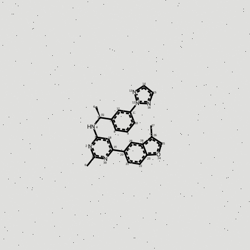 Cc1nc(N[C@@H](C)c2cccc(-n3nccn3)c2)cc(-c2ccc3occ(C)c3c2)n1